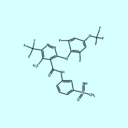 Cc1c(C(F)(F)F)nnc(Oc2c(F)cc(OC(F)(F)F)cc2F)c1C(=O)Nc1cccc(S(C)(=N)=O)c1